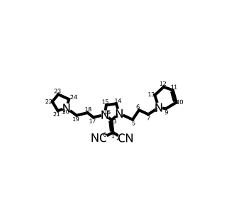 N#CC(C#N)=C1N(CCCN2CC=CCC2)CCN1CCCN1CCCC1